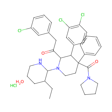 CCC1CCCNC1N1CCC(C(=O)N2CCCC2)(c2ccccc2)C(c2ccc(Cl)c(Cl)c2)C1C(=O)Cc1cccc(Cl)c1.Cl.O